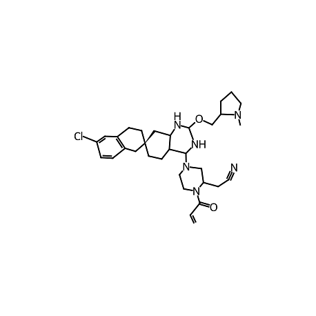 C=CC(=O)N1CCN(C2NC(OCC3CCCN3C)NC3C[C@@]4(CCc5cc(Cl)ccc5C4)CCC32)CC1CC#N